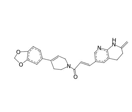 C=C1CCc2cc(/C=C/C(=O)N3CC=C(c4ccc5c(c4)OCO5)CC3)cnc2N1